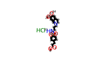 COC(=O)CCc1ccc(S(=O)(=O)NCCCN2CCc3cc(OC)c(OC)cc3C2)cc1.Cl